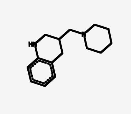 c1ccc2c(c1)CC(CN1CCCCC1)CN2